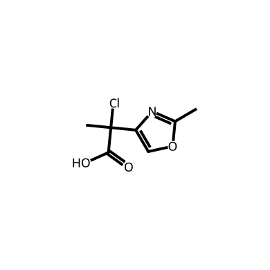 Cc1nc(C(C)(Cl)C(=O)O)co1